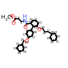 COC(=O)CCNC(=O)c1cccc(OCCCc2ccccc2)c1-c1ccc(OCc2ccccc2)cc1